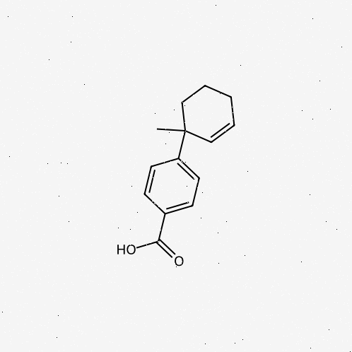 CC1(c2ccc(C(=O)O)cc2)C=CCCC1